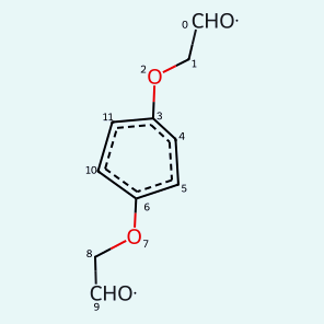 O=[C]COc1ccc(OC[C]=O)cc1